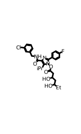 CCC(O)CC(O)CC(=O)On1c(-c2ccc(F)cc2)nc(C(=O)NCc2cccc(Cl)c2)c1C(C)C